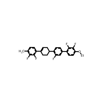 CCOc1ccc(-c2ccc(C3CC=C(c4ccc(C)c(F)c4F)CC3)c(F)c2)c(F)c1F